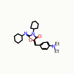 CCN(CC)c1ccc(/C=C2/OC(=NC3CCCCC3)N(C3CCCCC3)C2=O)cc1